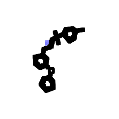 Cc1ccc(C(C)(C)/C=C/Cc2cccc(Oc3ccccc3)c2)cc1